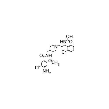 COc1cc(N)c(Cl)cc1C(=O)NCC1CCN(CCC(NC(=O)O)c2ccccc2Cl)CC1